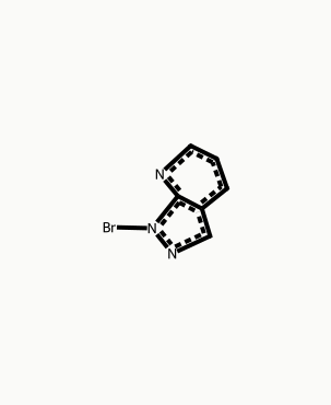 Brn1ncc2cccnc21